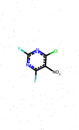 O=[N+]([O-])c1c(F)nc(F)nc1Cl